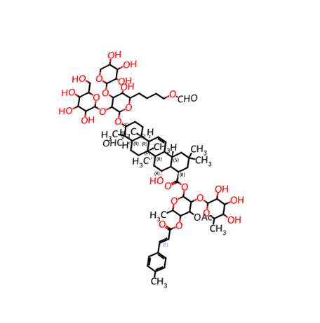 CC(=O)OC1C(OC(=O)/C=C/c2ccc(C)cc2)C(C)OC(OC(=O)[C@@H]2CC(C)(C)C[C@@H]3C2[C@H](O)C[C@]2(C)C3C=C[C@@H]3[C@@]4(C)CC[C@H](OC5OC(CCCCOC=O)C(O)C(OC6OCC(O)C(O)C6O)C5OC5OC(CO)C(O)C(O)C5O)[C@@](C)(C=O)[C@@H]4CC[C@]32C)C1OC1OC(C)C(O)C(O)C1O